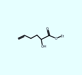 C=CCCC(O)C(=O)OCC